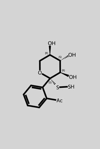 CC(=O)c1ccccc1[C@@]1(SS)OC[C@@H](O)[C@H](O)[C@H]1O